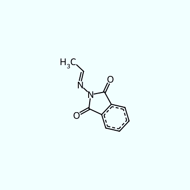 C/C=N/N1C(=O)c2ccccc2C1=O